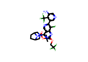 CC(C)(C)OC(=O)N1C2CCC1CN(c1nc(OCC(F)(F)F)nc3c(F)c(-c4cncc(N)c4C(F)(F)F)ncc13)C2